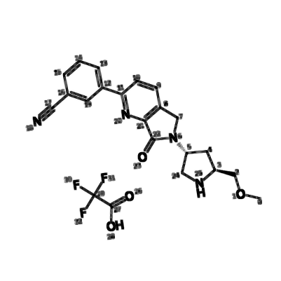 COC[C@@H]1C[C@@H](N2Cc3ccc(-c4cccc(C#N)c4)nc3C2=O)CN1.O=C(O)C(F)(F)F